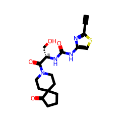 C#Cc1nc(NC(=O)N[C@@H](CO)C(=O)N2CCC3(CCCC3=O)CC2)cs1